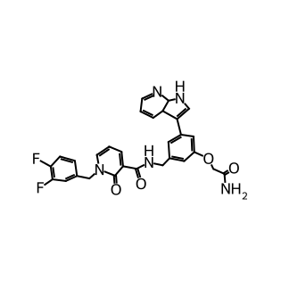 NC(=O)COc1cc(CNC(=O)c2cccn(Cc3ccc(F)c(F)c3)c2=O)cc(C2=CNC3N=CC=CC23)c1